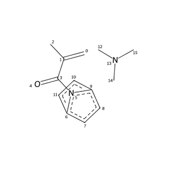 C=C(C)C(=O)n1c2ccc1cc2.CN(C)C